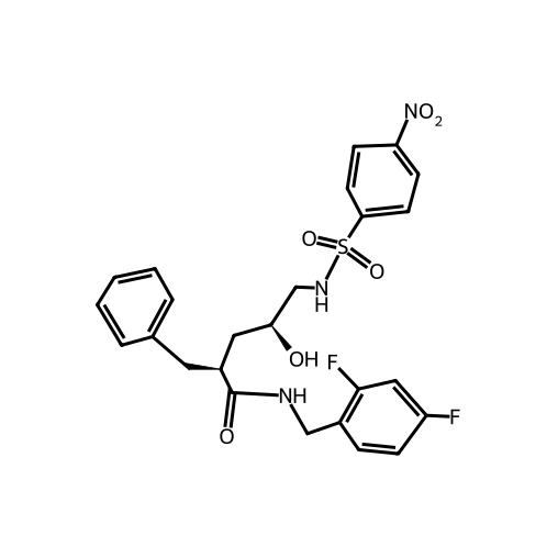 O=C(NCc1ccc(F)cc1F)[C@@H](Cc1ccccc1)C[C@H](O)CNS(=O)(=O)c1ccc([N+](=O)[O-])cc1